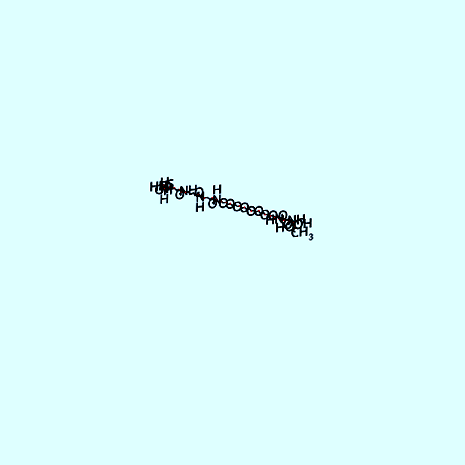 C/C=C/[C@H](O)[C@@H](CO)NC(=O)CCC(=O)NCCOCCOCCOCCOCCOCCOCCOCCOCCNC(=O)CCCCCNC(=O)CCCCCNC(=O)CCCC[C@@H]1SC[C@@H]2NC(=O)N[C@@H]21